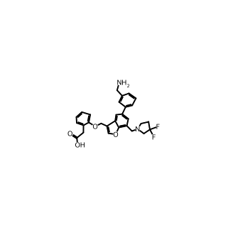 NCc1cccc(-c2cc(CN3CCC(F)(F)C3)c3occ(COc4ccccc4CC(=O)O)c3c2)c1